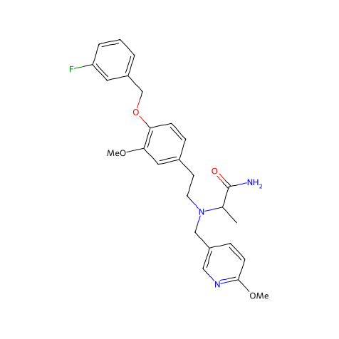 COc1ccc(CN(CCc2ccc(OCc3cccc(F)c3)c(OC)c2)C(C)C(N)=O)cn1